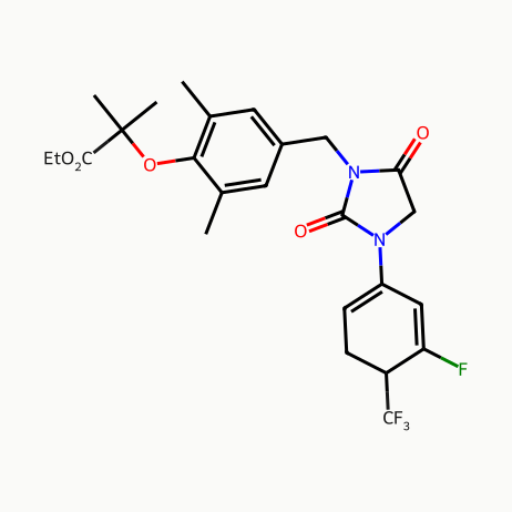 CCOC(=O)C(C)(C)Oc1c(C)cc(CN2C(=O)CN(C3=CCC(C(F)(F)F)C(F)=C3)C2=O)cc1C